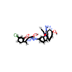 COC1CCC2(CC1)Cc1ccc(NC(=O)c3oc4cc(Cl)ccc4c3C)cc1C21N=C(C)C(N)=N1